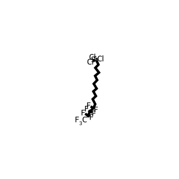 FC(F)(F)C(F)(F)C(F)(F)C(F)(F)CCCCCCCCCCC[Si](Cl)(Cl)Cl